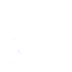 [CH2]OCc1ccccc1[N+](=O)[O-]